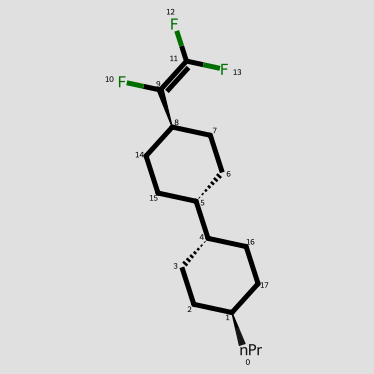 CCC[C@H]1CC[C@H]([C@H]2CC[C@H](C(F)=C(F)F)CC2)CC1